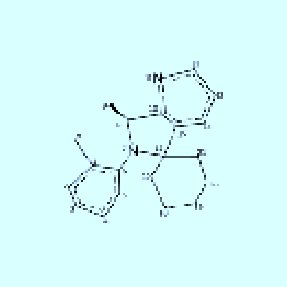 Cc1ccccc1N1[C@@H](C)c2ncccc2C12CCCCC2